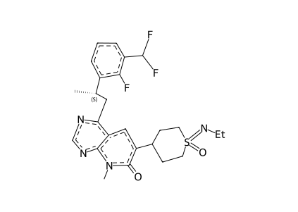 CCN=S1(=O)CCC(c2cc3c(C[C@H](C)c4cccc(C(F)F)c4F)ncnc3n(C)c2=O)CC1